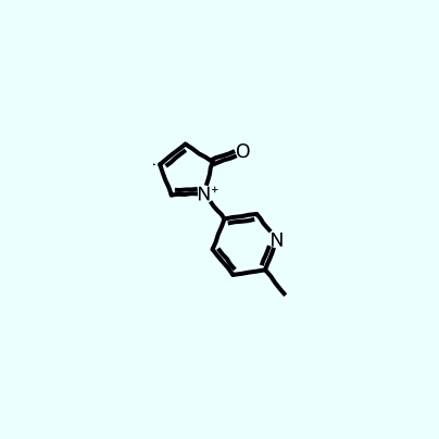 Cc1ccc([N+]2=C[C]=CC2=O)cn1